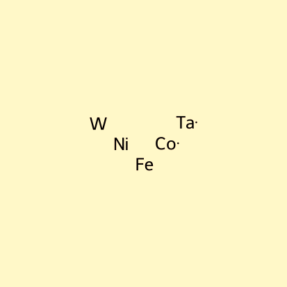 [Co].[Fe].[Ni].[Ta].[W]